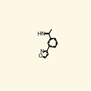 CC(=N)c1cccc(-c2ccon2)c1